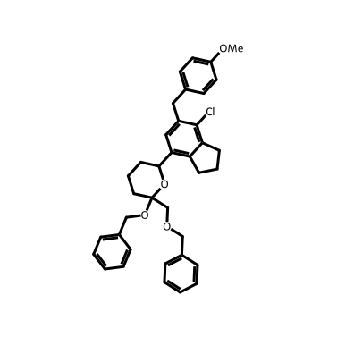 COc1ccc(Cc2cc(C3CCCC(COCc4ccccc4)(OCc4ccccc4)O3)c3c(c2Cl)CCC3)cc1